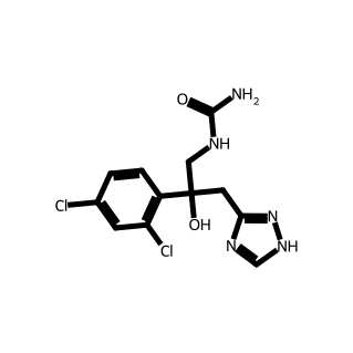 NC(=O)NCC(O)(Cc1nc[nH]n1)c1ccc(Cl)cc1Cl